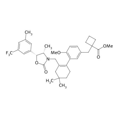 COC(=O)C1(Cc2ccc(OC)c(C3=C(CN4C(=O)O[C@H](c5cc(C)cc(C(F)(F)F)c5)[C@@H]4C)CC(C)(C)CC3)c2)CCC1